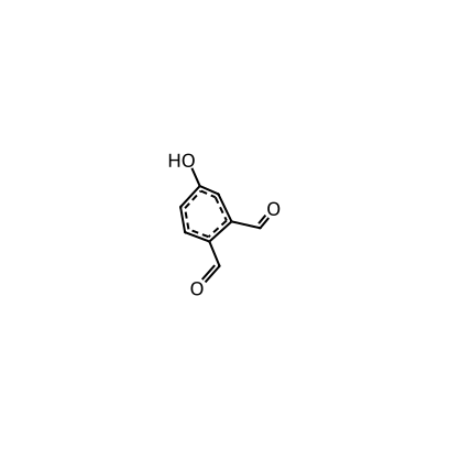 O=Cc1ccc(O)cc1C=O